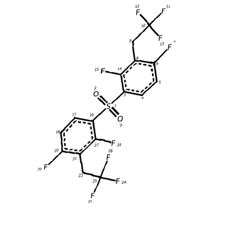 O=S(=O)(c1ccc(F)c(CC(F)(F)F)c1F)c1ccc(F)c(CC(F)(F)F)c1F